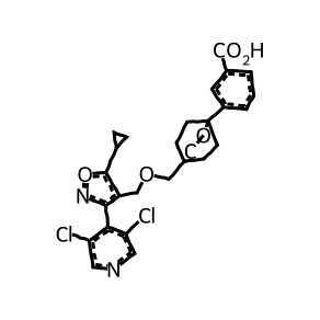 O=C(O)c1cccc(C23CCC(COCc4c(-c5c(Cl)cncc5Cl)noc4C4CC4)(CC2)CO3)c1